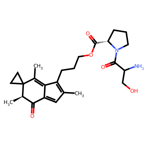 CC1=C(CCCOC(=O)[C@@H]2CCCN2C(=O)C(N)CO)C2=C(C)C3(CC3)[C@H](C)C(=O)C2=C1